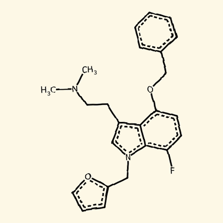 CN(C)CCc1cn(Cc2ccco2)c2c(F)ccc(OCc3ccccc3)c12